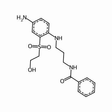 Nc1ccc(NCCCNC(=O)c2ccccc2)c(S(=O)(=O)CCO)c1